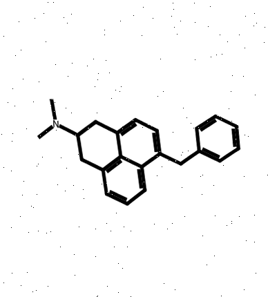 CN(C)C1Cc2cccc3c(Cc4ccccc4)ccc(c23)C1